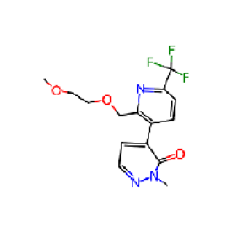 COCCOCc1nc(C(F)(F)F)ccc1-c1ccnn(C)c1=O